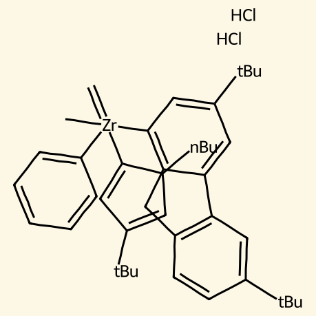 Cl.Cl.[CH2]=[Zr]([CH3])([C]1=CC(C(C)(C)C)=CC1CCCC)([c]1ccccc1)[c]1cc(C(C)(C)C)cc2c1Cc1ccc(C(C)(C)C)cc1-2